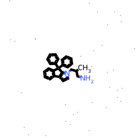 CC(CN)Cn1ccc2c1C(c1ccccc1)(c1ccccc1)c1ccccc1-2